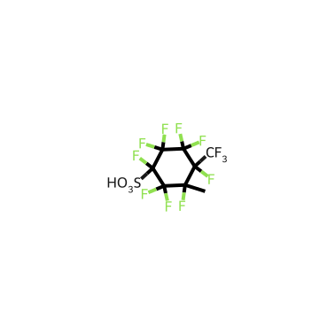 CC1(F)C(F)(F)C(F)(S(=O)(=O)O)C(F)(F)C(F)(F)C1(F)C(F)(F)F